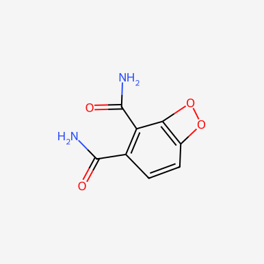 NC(=O)c1ccc2ooc2c1C(N)=O